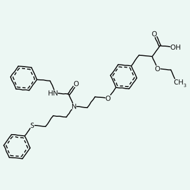 CCOC(Cc1ccc(OCCN(CCCSc2ccccc2)C(=O)NCc2ccccc2)cc1)C(=O)O